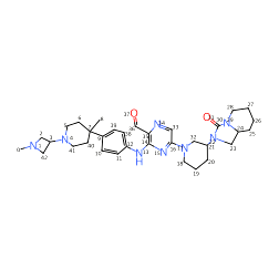 CN1CC(N2CCC(C)(c3ccc(Nc4nc(N5CCCC(N6CC7CCCCN7C6=O)C5)cnc4C=O)cc3)CC2)C1